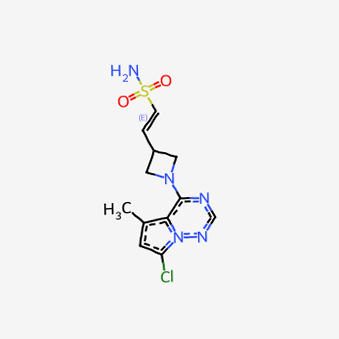 Cc1cc(Cl)n2ncnc(N3CC(/C=C/S(N)(=O)=O)C3)c12